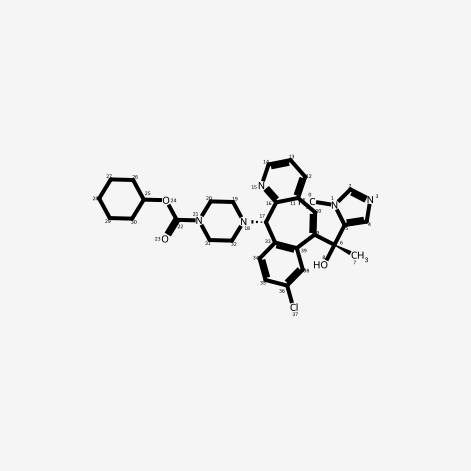 Cn1cncc1[C@](C)(O)C1=Cc2cccnc2[C@@H](N2CCN(C(=O)OC3CCCCC3)CC2)c2ccc(Cl)cc21